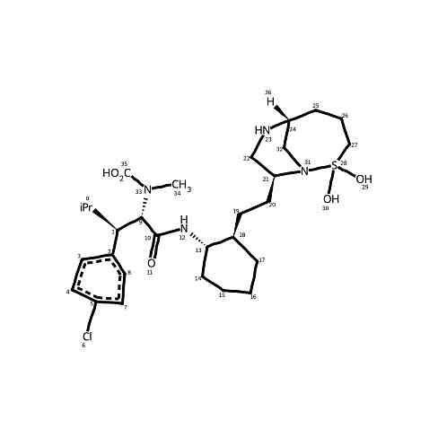 CC(C)[C@H](c1ccc(Cl)cc1)[C@@H](C(=O)N[C@H]1CCCC[C@@H]1CC[C@H]1CN[C@@H]2CCCS(O)(O)N1C2)N(C)C(=O)O